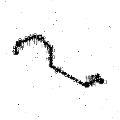 CC(=N)N1C(=N)[C@H](CC(=O)Nc2ccc(CCCOCCOCCOCCOCCOCCC(=O)NCCCN(C)CCCNC(=O)CCNC(=O)c3nc(NC(=O)CCNC(=O)c4cc(NC(=O)c5nc(NC(=O)CCNC(=O)c6cc(NC(=O)c7nccn7C)cn6C)cn5C)cn4C)cn3C)cc2)N=C(c2ccc(Cl)cc2)c2c1sc(C)c2C